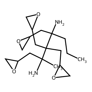 CCCC(N)(CC1CO1)C(CC1CO1)(CC1CO1)C(C)(N)CC1CO1